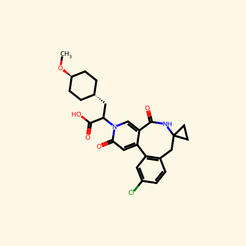 CO[C@H]1CC[C@H](CC(C(=O)O)n2cc3c(cc2=O)-c2cc(Cl)ccc2CC2(CC2)NC3=O)CC1